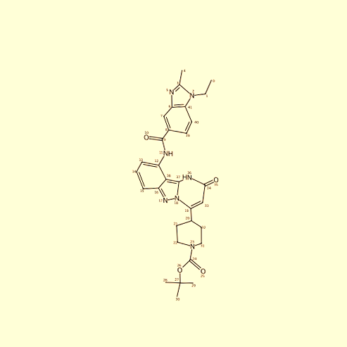 CCn1c(C)nc2cc(C(=O)Nc3cccc4nn5c(C6CCN(C(=O)OC(C)(C)C)CC6)cc(=O)[nH]c5c34)ccc21